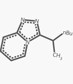 CCCCC(C)c1nnc2ccccn12